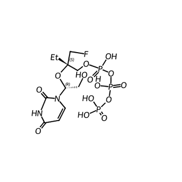 CC[C@@](CF)(COP(=O)(O)OP(=O)(O)OP(=O)(O)O)O[C@H](CO)n1ccc(=O)[nH]c1=O